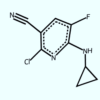 N#Cc1cc(F)c(NC2CC2)nc1Cl